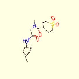 Cc1ccc(NC(=O)CN(C)C(=O)C2CCS(=O)(=O)CC2)cc1